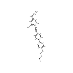 CCCCCc1ccc(-c2ccc(C#Cc3ncc(N=C=S)cc3F)cc2)cc1